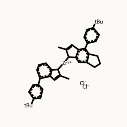 CC1=Cc2c(-c3ccc(C(C)(C)C)cc3)cccc2[CH]1[Zr+2][CH]1C(C)=Cc2c1cc1c(c2-c2ccc(C(C)(C)C)cc2)CCC1.[Cl-].[Cl-]